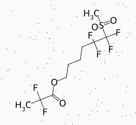 CC(F)(F)C(=O)OCCCCC(F)(F)C(F)(F)S(C)(=O)=O